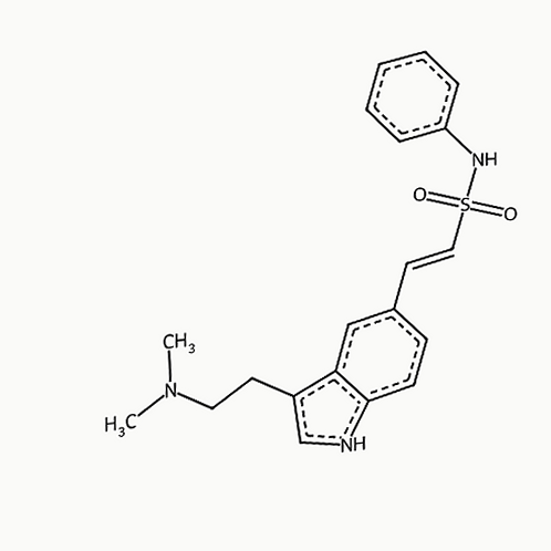 CN(C)CCc1c[nH]c2ccc(C=CS(=O)(=O)Nc3ccccc3)cc12